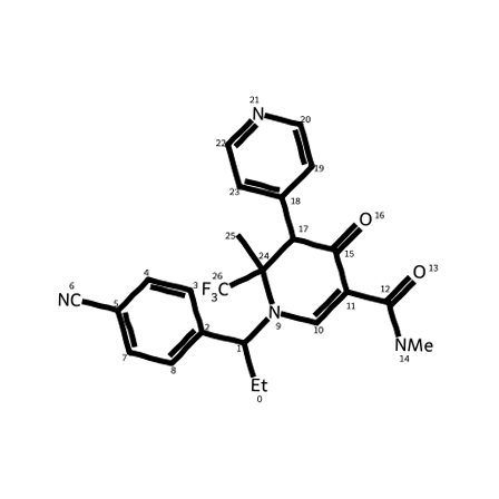 CCC(c1ccc(C#N)cc1)N1C=C(C(=O)NC)C(=O)C(c2ccncc2)C1(C)C(F)(F)F